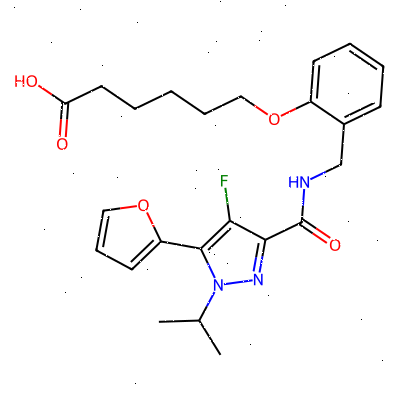 CC(C)n1nc(C(=O)NCc2ccccc2OCCCCCC(=O)O)c(F)c1-c1ccco1